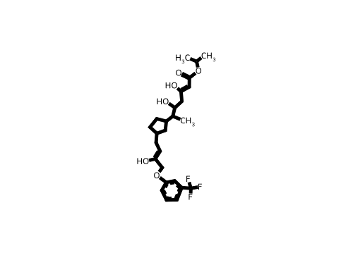 CC(C)OC(=O)C=C(O)CC(O)C(C)C1CCC(CC=C(O)COc2cccc(C(F)(F)F)c2)C1